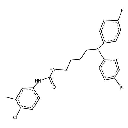 Cc1cc(NC(=O)NCCCCN(c2ccc(F)cc2)c2ccc(F)cc2)ccc1Cl